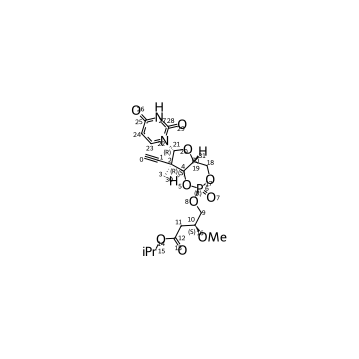 C#C[C@]1(C)[C@@H]2O[P@](=O)(OC[C@H](CC(=O)OC(C)C)OC)OC[C@H]2O[C@H]1n1ccc(=O)[nH]c1=O